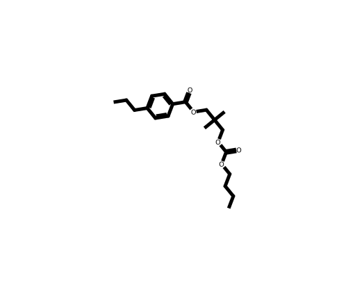 CCCCOC(=O)OCC(C)(C)COC(=O)c1ccc(CCC)cc1